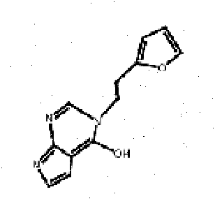 Oc1c2ccnc-2ncn1CCc1ccco1